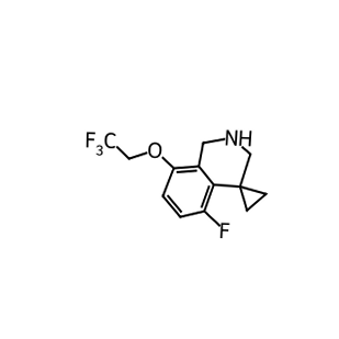 Fc1ccc(OCC(F)(F)F)c2c1C1(CC1)CNC2